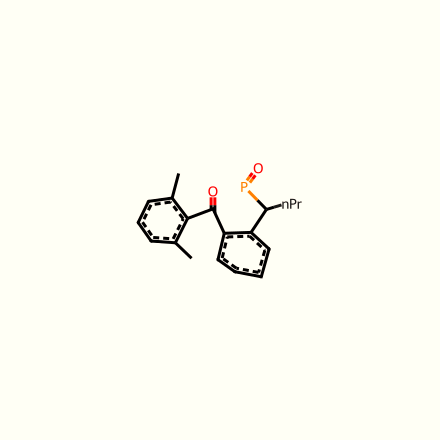 CCCC(P=O)c1ccccc1C(=O)c1c(C)cccc1C